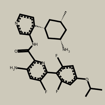 CC(C)Oc1cc(F)c(-c2nc(C(=O)Nc3cnccc3[C@@H]3C[C@H](C)C[C@H](N)C3)c(N)cc2F)c(F)c1